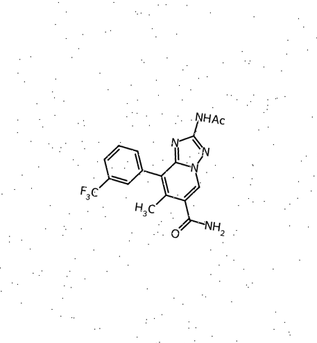 CC(=O)Nc1nc2c(-c3cccc(C(F)(F)F)c3)c(C)c(C(N)=O)cn2n1